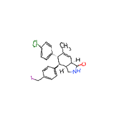 CC1=C[C@H]2C(=O)NC[C@H]2[C@@H](c2ccc(CI)cc2)[C@@H]1c1ccc(Cl)cc1